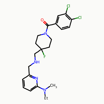 CCN(C)c1cccc(CNCC2(F)CCN(C(=O)c3ccc(Cl)c(Cl)c3)CC2)n1